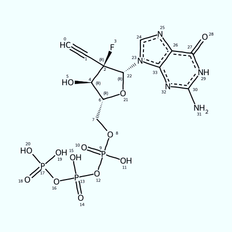 C#C[C@@]1(F)[C@H](O)[C@@H](COP(=O)(O)OP(=O)(O)OP(=O)(O)O)O[C@H]1n1cnc2c(=O)[nH]c(N)nc21